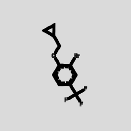 FC(F)(F)c1ccc(OCC2CC2)c(Br)c1